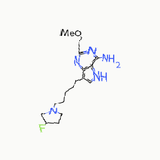 COCCc1nc(N)c2[nH]cc(CCCCCN3CCC(F)C3)c2n1